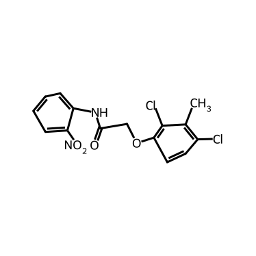 Cc1c(Cl)ccc(OCC(=O)Nc2ccccc2[N+](=O)[O-])c1Cl